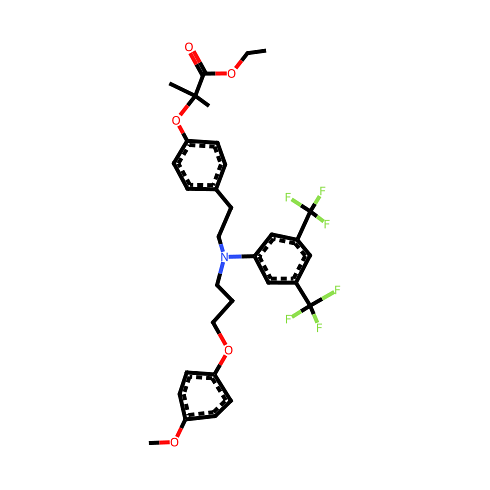 CCOC(=O)C(C)(C)Oc1ccc(CCN(CCCOc2ccc(OC)cc2)c2cc(C(F)(F)F)cc(C(F)(F)F)c2)cc1